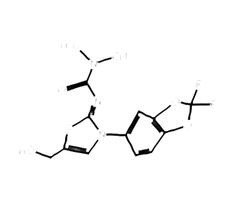 CN(C)C(=O)N=c1sc(CO)cn1-c1ccc2c(c1)OC(F)(F)O2